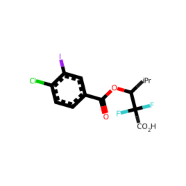 CC(C)C(OC(=O)c1ccc(Cl)c(I)c1)C(F)(F)C(=O)O